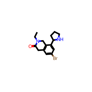 CCN1Cc2c(cc(Br)cc2C2CCCN2)CC1=O